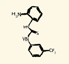 Nc1ccccc1NC(=S)Nc1cccc(C(F)(F)F)c1